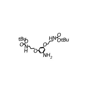 CC(C)(C)OC(=O)NCCCOc1cc(N)cc(OCCCNC(=O)OC(C)(C)C)c1